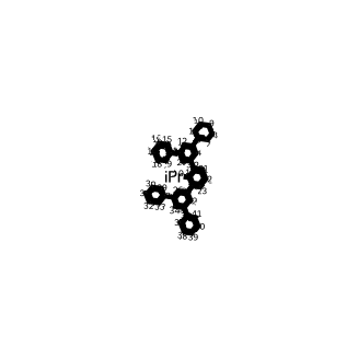 CC(C)c1c(-c2cc(C3=CCCC=C3)cc(-c3ccccc3)c2)cccc1-c1cc(-c2ccccc2)cc(-c2ccccc2)c1